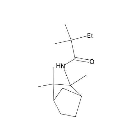 CCC(C)(C)C(=O)NC1(C)C2CCC(C2)C1(C)C